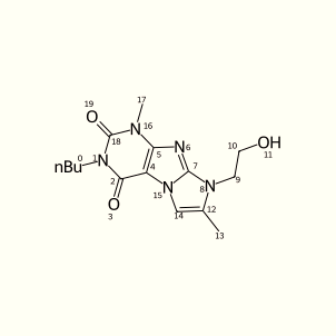 CCCCn1c(=O)c2c(nc3n(CCO)c(C)cn23)n(C)c1=O